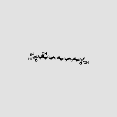 CC(C)P(=O)(O)OCC(O)COCCOCCOCCOCCOP(C)(=O)O